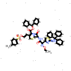 C=CO/N=C(/C(=O)NC1C(=O)N2C(C(=O)OC(c3ccccc3)c3ccccc3)=C(/C=C/OS(=O)(=O)c3ccc(C)cc3)CSC12)c1csc(NC(c2ccccc2)(c2ccccc2)c2ccccc2)n1